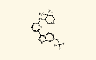 CC1(C)CCNCC1Nc1cccc(-c2cnc3cc(OC(F)(F)F)ccn23)n1